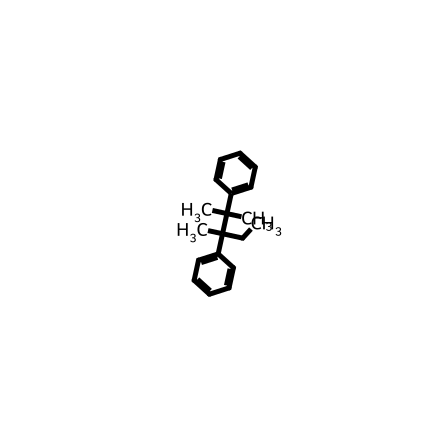 CCC(C)(c1ccccc1)C(C)(C)c1ccccc1